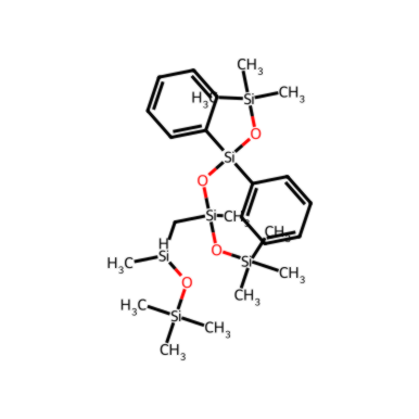 C[SiH](C[Si](C)(O[Si](C)(C)C)O[Si](O[Si](C)(C)C)(c1ccccc1)c1ccccc1)O[Si](C)(C)C